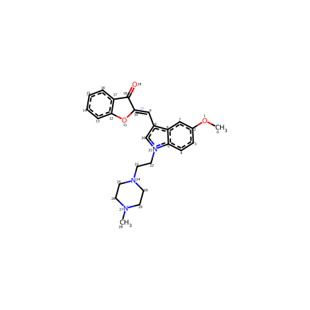 COc1ccc2c(c1)c(/C=C1\Oc3cc[c]cc3C1=O)cn2CCN1CCN(C)CC1